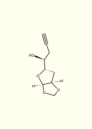 C#CC[C@H](O)[C@@H]1C[C@H]2OCO[C@H]2O1